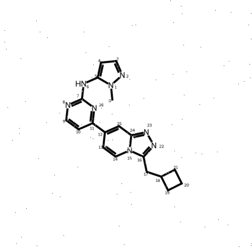 Cn1nccc1Nc1nccc(-c2ccn3c(CC4CCC4)nnc3c2)n1